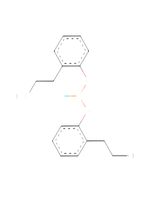 CCCc1ccccc1OP(F)Oc1ccccc1CCC